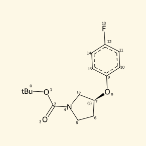 CC(C)(C)OC(=O)N1CC[C@H](Oc2ccc(F)cc2)C1